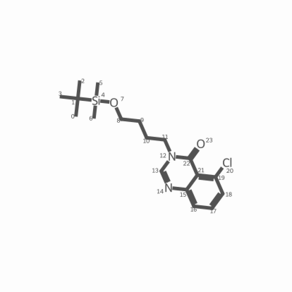 CC(C)(C)[Si](C)(C)OCCCCn1cnc2cccc(Cl)c2c1=O